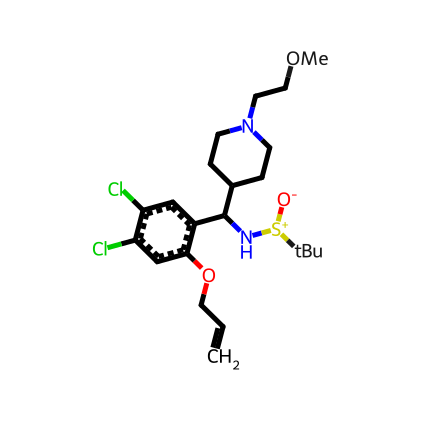 C=CCOc1cc(Cl)c(Cl)cc1C(N[S+]([O-])C(C)(C)C)C1CCN(CCOC)CC1